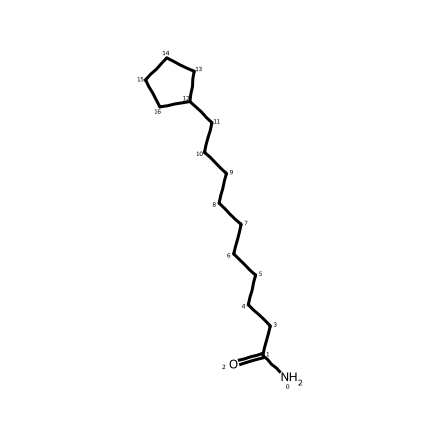 NC(=O)CCCCCCCCCC1CCCC1